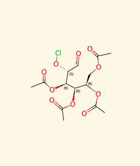 CC(=O)OC[C@@H](OC(C)=O)[C@@H](OC(C)=O)[C@@H](OC(C)=O)[C@@H](C=O)OCl